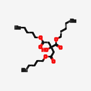 CCC(C)CCCCOC(=O)CC(O)(CC(=O)OCCCCC(C)CC)C(=O)OCCCCC(C)CC